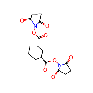 O=C(ON1C(=O)CCC1=O)[C@H]1CCC[C@H](C(=O)ON2C(=O)CCC2=O)C1